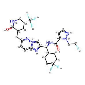 O=C(N[C@H](c1cn2nc(CC3C[C@@H](C(F)(F)F)CNC3=O)ccc2n1)C1CCC(F)(F)CC1)c1ccnn1CCF